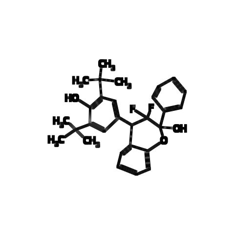 CC(C)(C)c1cc(C2c3ccccc3OC(O)(c3ccccc3)C2(F)F)cc(C(C)(C)C)c1O